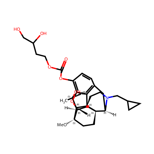 CO[C@@]12CC[C@@]3(C[C@@H]1[C@](C)(O)C(C)(C)C)[C@H]1Cc4ccc(OC(=O)OCCC(O)CO)c5c4[C@@]3(CCN1CC1CC1)[C@H]2O5